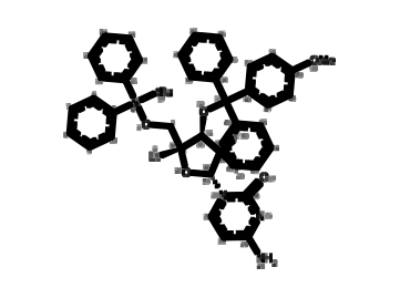 CC[C@]1(CO[Si](c2ccccc2)(c2ccccc2)C(C)(C)C)O[C@@H](n2ccc(N)nc2=O)C(F)(F)[C@@H]1OC(c1ccccc1)(c1ccccc1)c1ccc(OC)cc1